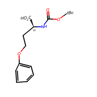 CC(C)(C)OC(=O)N[C@@H](CCOc1ccccc1)C(=O)O